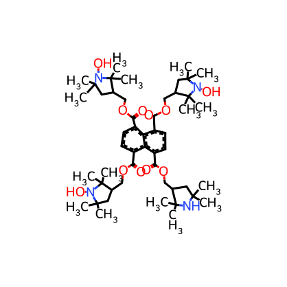 CC1(C)CC(COC(=O)c2ccc(C(=O)OCC3CC(C)(C)N(O)C3(C)C)c3c(C(=O)OCC4CC(C)(C)N(O)C4(C)C)ccc(C(=O)OCC4CC(C)(C)N(O)C4(C)C)c23)C(C)(C)N1